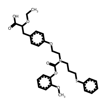 CCOC(Cc1ccc(OCCN(CCCSc2ccccc2)C(=O)Oc2ccccc2OC)cc1)C(=O)O